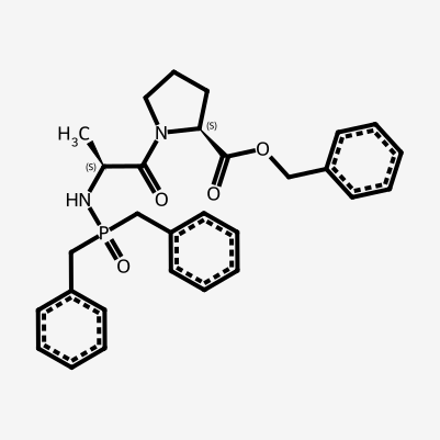 C[C@H](NP(=O)(Cc1ccccc1)Cc1ccccc1)C(=O)N1CCC[C@H]1C(=O)OCc1ccccc1